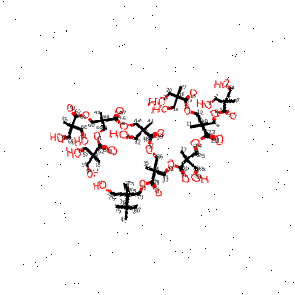 CC(CO)(CO)C(=O)OCC(C)(COC(=O)C(C)(CO)CO)C(=O)OCC(C)(CO)C(=O)OCC(C)(COC(=O)C(C)(CO)COC(=O)C(C)(COC(=O)C(C)(CO)CO)COC(=O)C(C)(CO)CO)C(=O)OCC(C)(CO)C(C)(C)C